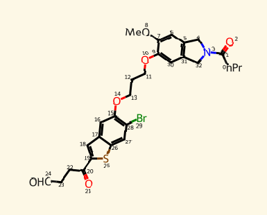 CCCC(=O)N1Cc2cc(OC)c(OCCCOc3cc4cc(C(=O)CCC=O)sc4cc3Br)cc2C1